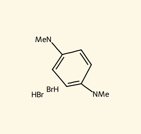 Br.Br.CNc1ccc(NC)cc1